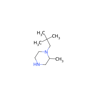 CC1CNCCN1CC(C)(C)C